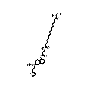 CCCNC(=O)CCCCCCCCCCCCCC(=O)NCCC(=O)Oc1cccc2c1CCC(N(CCC)CCc1cccs1)C2